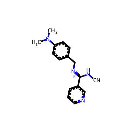 CN(C)c1ccc(C/N=C(\NC#N)c2cccnc2)cc1